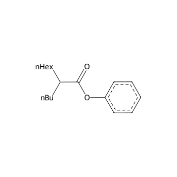 CCCCCCC(CCCC)C(=O)Oc1ccccc1